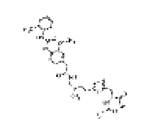 COc1cc(CC(=O)NCC(C)CCc2cnc(CC(NC(C)=O)C(=O)O)o2)ccc1NC(=O)Nc1ccccc1C